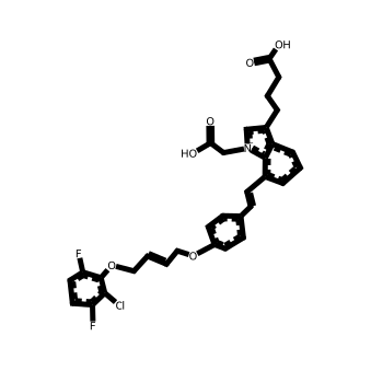 O=C(O)CCCc1cn(CC(=O)O)c2c(C=Cc3ccc(OCC=CCOc4c(F)ccc(F)c4Cl)cc3)cccc12